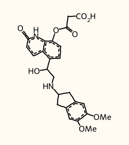 COc1cc2c(cc1OC)CC(NCC(O)c1ccc(OC(=O)CC(=O)O)c3[nH]c(=O)ccc13)C2